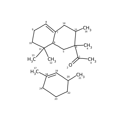 CC(=O)C1(C)CC2C(=CCCC2(C)C)CC1C.CC1=CC(C)CCC1